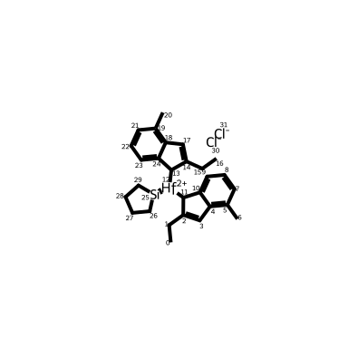 CCC1=Cc2c(C)cccc2[CH]1[Hf+2]([CH]1C(CC)=Cc2c(C)cccc21)=[Si]1CCCC1.[Cl-].[Cl-]